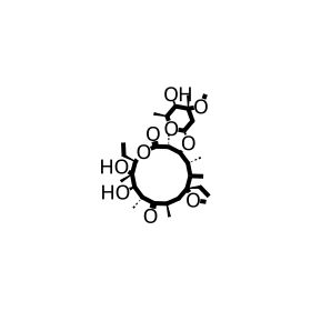 CC[C@H]1OC(=O)[C@H](C)[C@@H](O[C@H]2C[C@@](C)(OC)[C@@H](O)[C@H](C)O2)[C@H](C)C(C)[C@](CC)(OC)C[C@@H](C)C(=O)[C@H](C)[C@@H](O)[C@]1(C)O